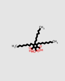 CCCCCCCCCc1c(CCCCCCCCC)c(C(=O)O)c(C(=O)O)c(C(=O)O)c1CCCCCCCCC